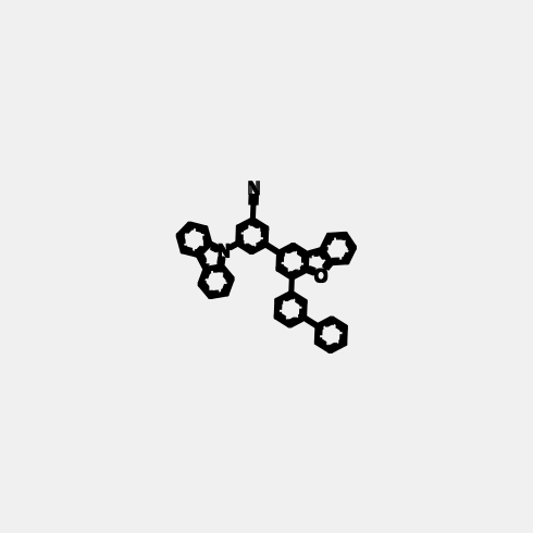 N#Cc1cc(-c2cc(-c3cccc(-c4ccccc4)c3)c3oc4ccccc4c3c2)cc(-n2c3ccccc3c3ccccc32)c1